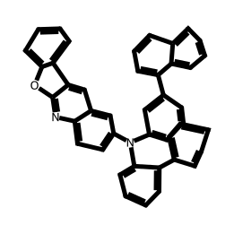 c1ccc(-c2ccccc2N(c2cccc(-c3cccc4ccccc34)c2)c2ccc3nc4oc5ccccc5c4cc3c2)cc1